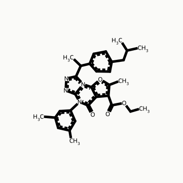 CCOC(=O)c1c(C)oc2c1c(=O)n(-c1cc(C)cc(C)c1)c1nnc(C(C)c3ccc(CC(C)C)cc3)n21